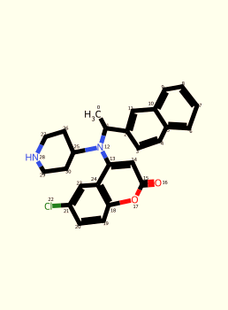 CC(c1ccc2ccccc2c1)N(c1cc(=O)oc2ccc(Cl)cc12)C1CCNCC1